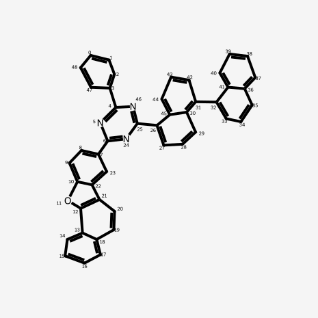 c1ccc(-c2nc(-c3ccc4oc5c6ccccc6ccc5c4c3)nc(-c3cccc4c(-c5cccc6ccccc56)cccc34)n2)cc1